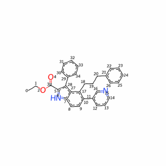 CCOC(=O)c1[nH]c2ccc(-c3cccnc3)c(CCCc3ccccc3)c2c1-c1ccccc1